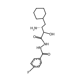 N[C@H](CC1CCCCC1)C(O)C(=O)NNC(=O)c1ccc(F)cc1